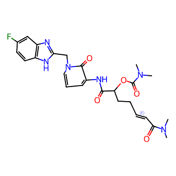 CN(C)C(=O)/C=C/CCC(OC(=O)N(C)C)C(=O)Nc1cccn(Cc2nc3cc(F)ccc3[nH]2)c1=O